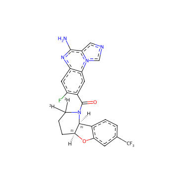 [2H]C1([2H])CC[C@@H]2Oc3cc(C(F)(F)F)ccc3[C@@H]2N1C(=O)c1cc2c(cc1F)nc(N)c1cncn12